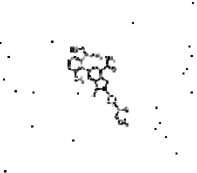 C=CC(=O)N1CC(N2Cc3c(C(N)=O)cc(-c4c(C)ccc5[nH]nc(N)c45)cc3C2=O)C1